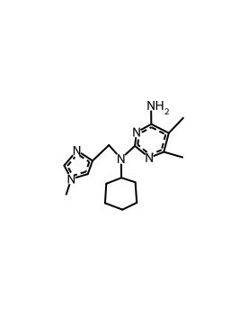 Cc1nc(N(Cc2cn(C)cn2)C2CCCCC2)nc(N)c1C